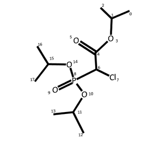 CC(C)OC(=O)C(Cl)P(=O)(OC(C)C)OC(C)C